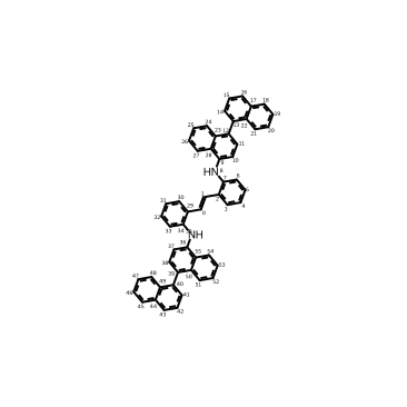 C(=Cc1ccccc1Nc1ccc(-c2cccc3ccccc23)c2ccccc12)c1ccccc1Nc1ccc(-c2cccc3ccccc23)c2ccccc12